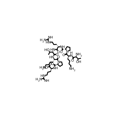 CC(O)[C@H](N)C(=O)N[C@@H](CCCCN)C(=O)N1CCC[C@H]1C(=O)N[C@@H](CCCNC(=N)N)C(=O)N[C@H](C(=O)N[C@@H](CCCCN)C(=O)N1CCC[C@H]1C(=O)N[C@@H](CCCNC(=N)N)C(=O)O)C(C)O